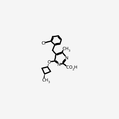 Cc1nc(C(=O)O)nc(O[C@H]2C[C@H](C)C2)c1Cc1ccccc1Cl